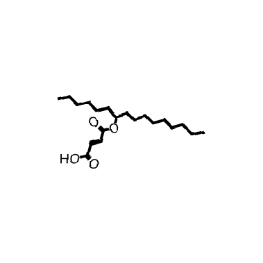 CCCCCCCCCC(CCCCCC)OC(=O)C=CC(=O)O